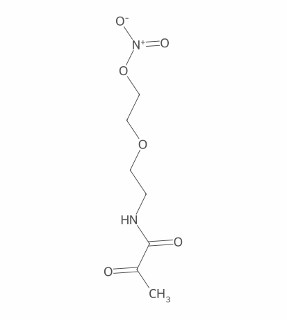 CC(=O)C(=O)NCCOCCO[N+](=O)[O-]